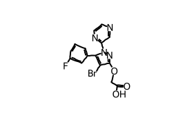 O=C(O)COc1nn(-c2cnccn2)c(-c2cccc(F)c2)c1Br